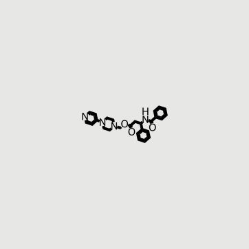 O=C(CC(NC(=O)c1ccccc1)c1ccccc1)OCN1CCN(c2ccncc2)CC1